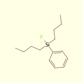 CCCC[Si](F)(CCCC)c1ccccc1